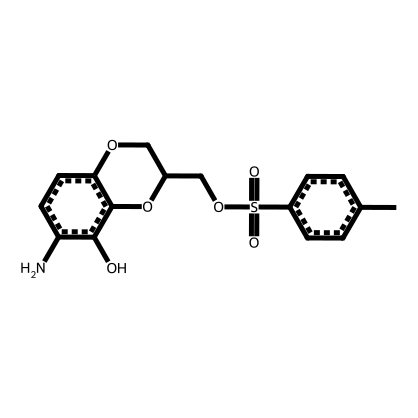 Cc1ccc(S(=O)(=O)OCC2COc3ccc(N)c(O)c3O2)cc1